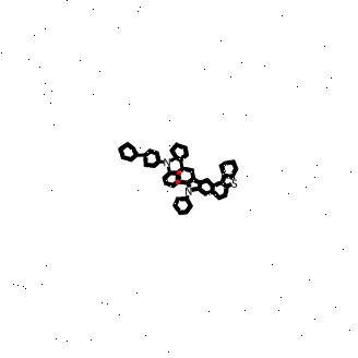 c1ccc(-c2ccc(N(c3ccccc3)c3ccccc3-c3ccc4c(c3)c3cc5c(ccc6sc7ccccc7c65)cc3n4-c3ccccc3)cc2)cc1